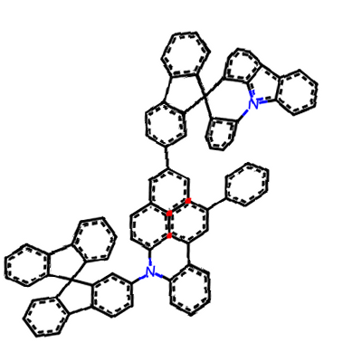 c1ccc(-c2cccc(-c3ccccc3N(c3ccc4c(c3)C3(c5ccccc5-c5ccccc53)c3ccccc3-4)c3ccc4cc(-c5ccc6c(c5)C5(c7ccccc7-6)c6ccccc6-n6c7ccccc7c7cccc5c76)ccc4c3)c2)cc1